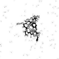 C#CCNC(=O)[C@H](Cc1ccccc1)NC(=O)[C@H](C)[C@@H](OC)[C@@H]1CCCN1C(=O)C[C@@H](OC)[C@H]([C@@H](C)CC)N(C)[C@H](C(=O)NC(=O)C(C)(C)NC)C(C)C